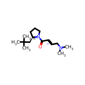 CN(C)C/C=C/C(=O)N1CCC[C@@H]1CC(C)(C)C